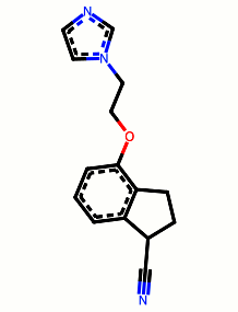 N#CC1CCc2c(OCCn3ccnc3)cccc21